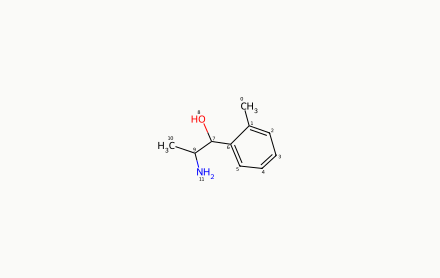 Cc1ccccc1C(O)C(C)N